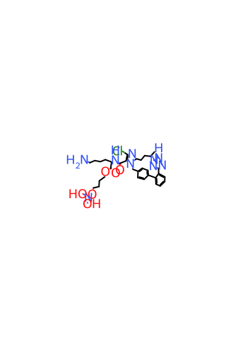 CCCCc1nc(Cl)c(C(=O)NC(CCCCN)C(=O)OCCCCON(O)O)n1Cc1ccc(-c2ccccc2-c2nn[nH]n2)cc1